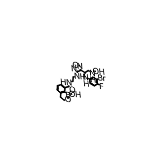 O=C(NCCNc1nonc1C(CNO)Nc1ccc(F)c(Br)c1)c1cccc2c1B(O)OCC2